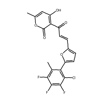 Cc1cc(O)c(C(=O)/C=C/c2ccc(-c3c(C)c(F)c(F)c(F)c3Cl)o2)c(=O)o1